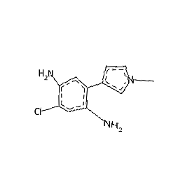 Cn1ccc(-c2cc(N)c(Cl)cc2N)c1